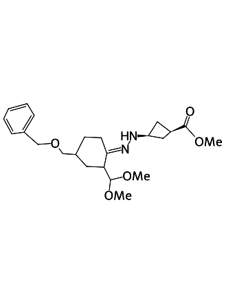 COC(=O)[C@H]1C[C@@H](NN=C2CCC(COCc3ccccc3)CC2C(OC)OC)C1